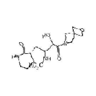 O=C(O)NC(C[C@@H]1CCCNC1=O)C(O)C(=O)N1CC2(COC2)C1